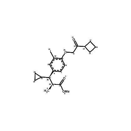 COC(=O)[C@@H](C)[C@H](c1ccc(OCC(=O)C2CCC2)c(I)c1)C1CC1